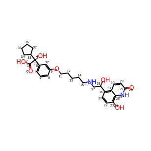 O=C(O)C(O)(c1cccc(OCCCCCNCC(O)c2ccc(O)c3[nH]c(=O)ccc23)c1)C1CCCC1